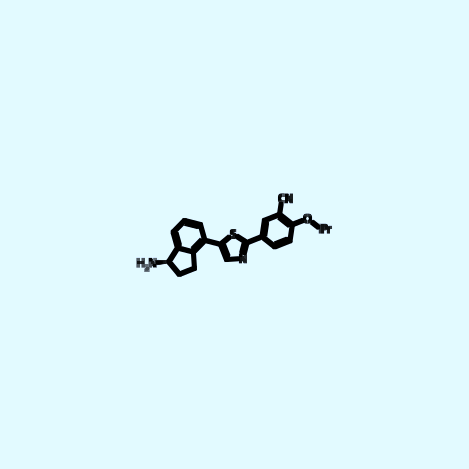 CC(C)Oc1ccc(-c2ncc(-c3cccc4c3CC[C@H]4N)s2)cc1C#N